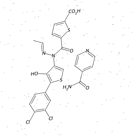 CC=NN(C(=O)c1ccc(C(=O)O)s1)c1csc(-c2ccc(Cl)c(Cl)c2)c1O.NC(=O)c1ccncc1